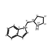 c1ccc2c(c1)ccn2C[C@H]1CCCN1